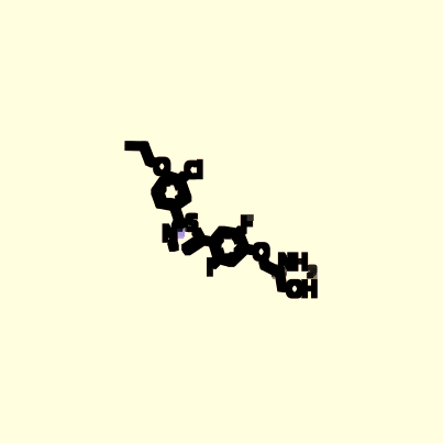 C=C(S/C(=N\C)c1ccc(OCCC)c(Cl)c1)c1cc(F)c(OC[C@H](N)CO)cc1I